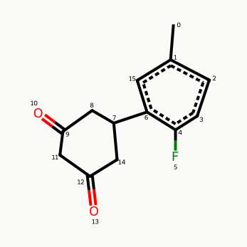 Cc1ccc(F)c(C2CC(=O)CC(=O)C2)c1